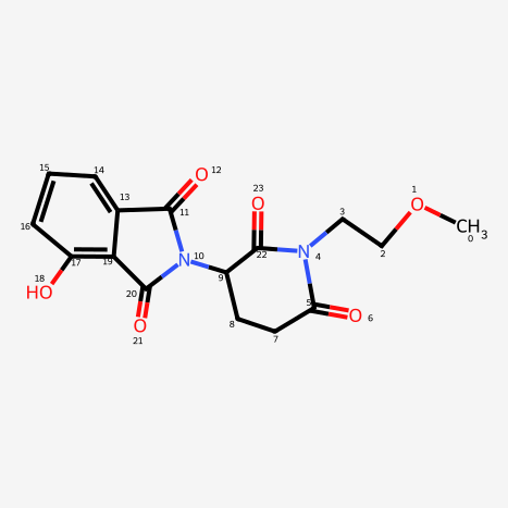 COCCN1C(=O)CCC(N2C(=O)c3cccc(O)c3C2=O)C1=O